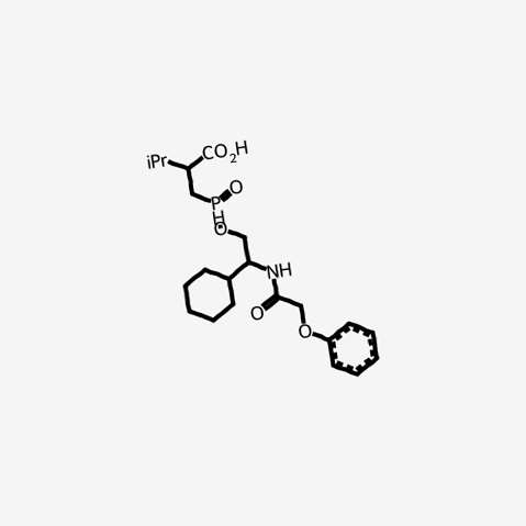 CC(C)C(C[PH](=O)OCC(NC(=O)COc1ccccc1)C1CCCCC1)C(=O)O